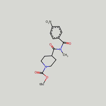 CN(C(=O)c1ccc([N+](=O)[O-])cc1)C(=O)C1CCN(C(=O)OC(C)(C)C)CC1